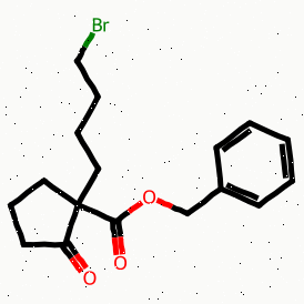 O=C1CCCC1(CCCCBr)C(=O)OCc1ccccc1